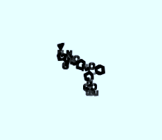 CC(C)(C)OC(=O)N1CC[C@@H](C(=O)N2CCC(O)(Cn3cnc4c(ccn4C4CC4)c3=O)CC2)[C@H](c2ccccc2)C1